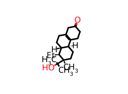 CC[C@H]1[C@@H]2CCC3=C(CCC(=O)C3)[C@H]2CC[C@]1(C)C(C)(C)O